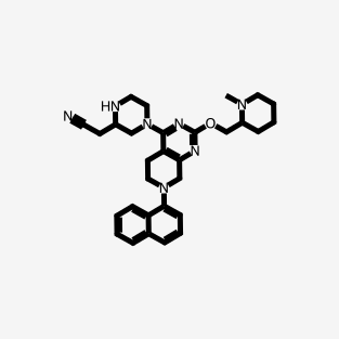 CN1CCCCC1COc1nc2c(c(N3CCNC(CC#N)C3)n1)CCN(c1cccc3ccccc13)C2